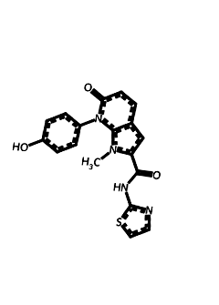 Cn1c(C(=O)Nc2nccs2)cc2ccc(=O)n(-c3ccc(O)cc3)c21